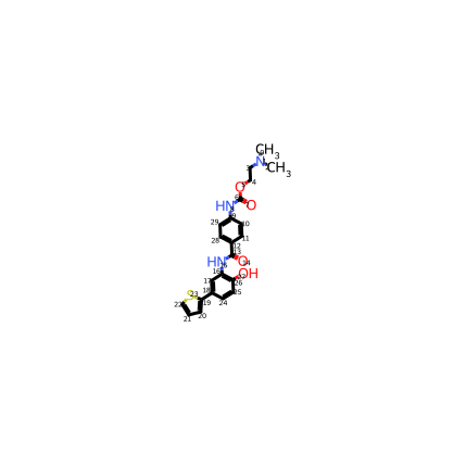 CN(C)CCOC(=O)Nc1ccc(C(=O)Nc2cc(-c3cccs3)ccc2O)cc1